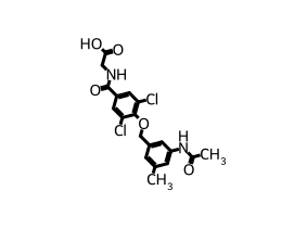 CC(=O)Nc1cc(C)cc(COc2c(Cl)cc(C(=O)NCC(=O)O)cc2Cl)c1